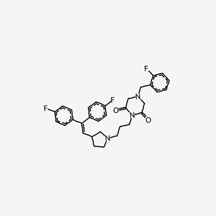 O=C1CN(Cc2ccccc2F)CC(=O)N1CCCN1CCC(C=C(c2ccc(F)cc2)c2ccc(F)cc2)C1